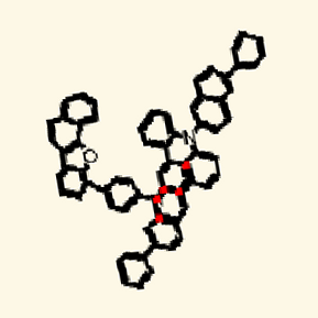 c1ccc(-c2cccc(N(c3ccc(-c4cccc5c4oc4c6ccccc6ccc54)cc3)c3cccc(-c4ccccc4N(c4cccc(-c5ccccc5)c4)c4ccc5cc(-c6ccccc6)ccc5c4)c3)c2)cc1